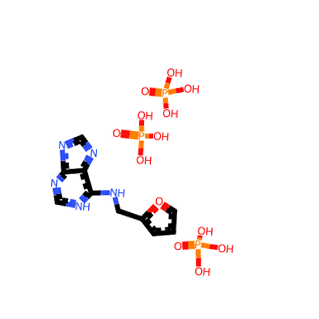 O=P(O)(O)O.O=P(O)(O)O.O=P(O)(O)O.c1coc(CNc2[nH]cnc3ncnc2-3)c1